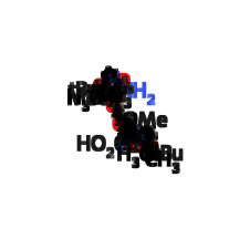 COc1cc(C(=O)N2CCCC2CO[Si](C)(C)C(C)(C)C)c(N)cc1OCCCOc1cc(N(C(=O)O)C(C)(C)C)c(C(=O)N2CCCC2CO[Si](C)(C)C(C)(C)C)cc1OC